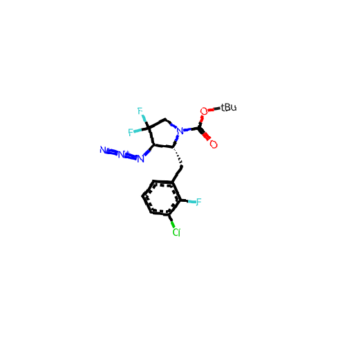 CC(C)(C)OC(=O)N1CC(F)(F)C(N=[N+]=[N-])[C@H]1Cc1cccc(Cl)c1F